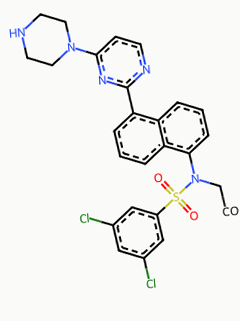 O=C(O)CN(c1cccc2c(-c3nccc(N4CCNCC4)n3)cccc12)S(=O)(=O)c1cc(Cl)cc(Cl)c1